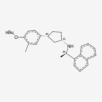 CCCCOc1ccc([C@@H]2CC[C@H](N[C@H](C)c3cccc4ccccc34)C2)cc1C